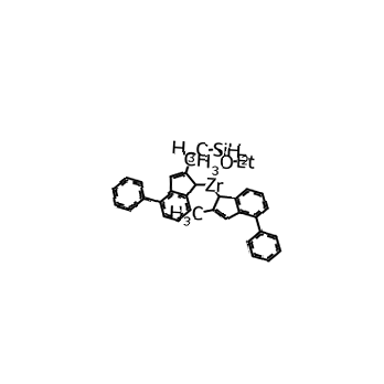 CC1=Cc2c(-c3ccccc3)cccc2[CH]1[Zr][CH]1C(C)=Cc2c(-c3ccccc3)cccc21.CCO[SiH2]C